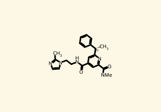 CNC(=O)c1cc(C(=O)NCCn2ccnc2C)cc([C@@H](C)c2ccccc2)n1